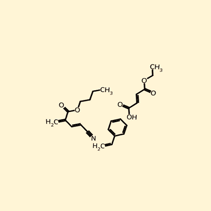 C=C(C=CC#N)C(=O)OCCCC.C=Cc1ccccc1.CCOC(=O)C=CC(=O)O